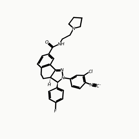 [C-]#[N+]c1ccc(N2N=C3c4cc(C(=O)NCCN5CCCC5)ccc4CC[C@@H]3[C@@H]2c2ccc(F)cc2)cc1Cl